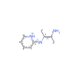 C/C(N)=C(C)\N=c1\cccc[nH]1